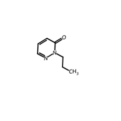 CCCn1ncccc1=O